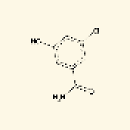 N#Cc1cc(Cl)cc(C(N)=O)c1